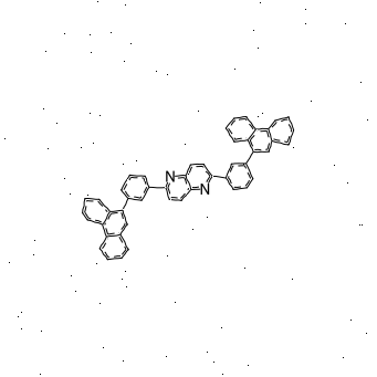 c1cc(-c2ccc3nc(-c4cccc(-c5cc6ccccc6c6ccccc56)c4)ccc3n2)cc(-c2cc3ccccc3c3ccccc23)c1